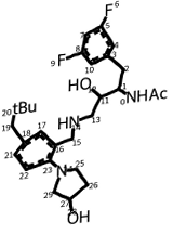 CC(=O)NC(Cc1cc(F)cc(F)c1)C(O)CNCc1cc(CC(C)(C)C)ccc1N1CCC(O)C1